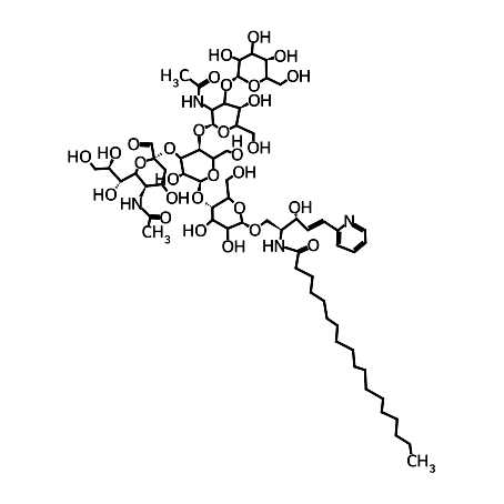 CCCCCCCCCCCCCCCCCC(=O)N[C@@H](CO[C@@H]1OC(CO)[C@@H](O[C@@H]2OC(CO)[C@H](O[C@@H]3OC(CO)[C@H](O)C(O[C@@H]4OC(CO)[C@H](O)C(O)C4O)C3NC(C)=O)C(O[C@]3(C=O)CC(O)[C@@H](NC(C)=O)C([C@H](O)[C@H](O)CO)O3)[C@@H]2O)C(O)C1O)[C@H](O)/C=C/c1ccccn1